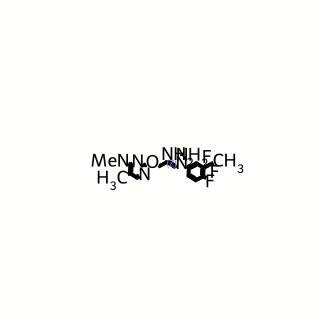 CNc1nc(OC/C(N)=C/N(N)c2ccc(F)c(C(C)(F)F)c2)ncc1C